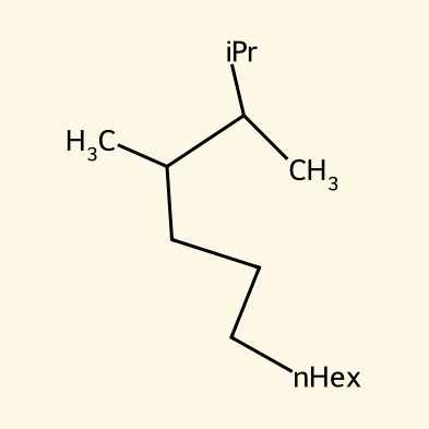 [CH2]CCCCCCCCC(C)C(C)C(C)C